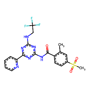 Cc1cc(S(C)(=O)=O)ccc1C(=O)Nc1nc(NCC(F)(F)F)nc(-c2ccccn2)n1